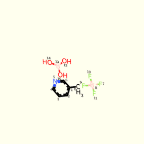 Cc1cccnc1.F[B-](F)(F)F.OB(O)O